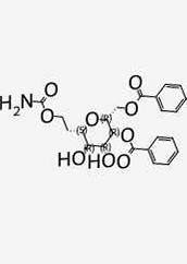 NC(=O)OCC[C@@H]1O[C@H](COC(=O)c2ccccc2)[C@H](OC(=O)c2ccccc2)[C@H](O)[C@H]1O